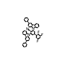 N#Cc1c(-n2c3ccccc3c3cc(-c4ccccc4)ccc32)cc(-c2cc(F)cc(F)c2F)cc1-n1c2ccccc2c2cc(-c3ccccc3)ccc21